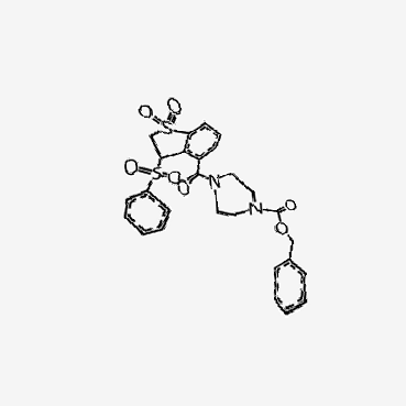 O=C(OCc1ccccc1)N1CCN(C(=O)c2cccc3c2C(S(=O)(=O)c2ccccc2)CS3(=O)=O)CC1